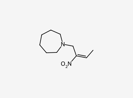 C/C=C(\CN1CCCCCC1)[N+](=O)[O-]